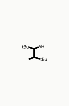 CC(C(S)C(C)(C)C)C(C)(C)C